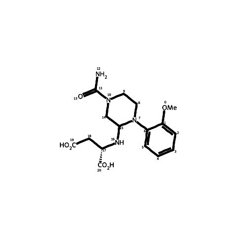 COc1ccccc1N1CCN(C(N)=O)CC1N[C@@H](CC(=O)O)C(=O)O